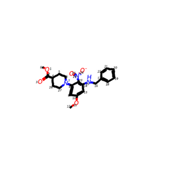 COC(=O)C1CCN(c2cc(OC)cc(NCc3ccccc3)c2[N+](=O)[O-])CC1